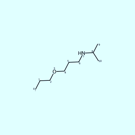 [CH2]CCOCCCNC(C)C